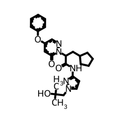 CC(C)(O)Cn1ccc(NC(=O)C(CC2CCCC2)n2ncc(Oc3ccccc3)cc2=O)n1